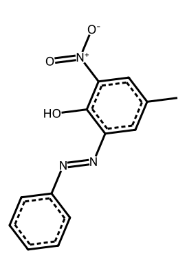 Cc1cc(N=Nc2ccccc2)c(O)c([N+](=O)[O-])c1